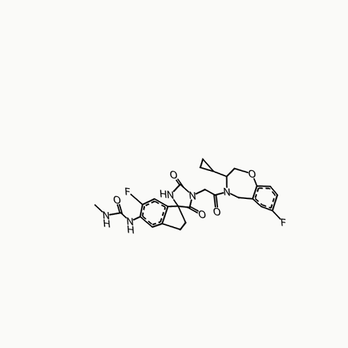 CNC(=O)Nc1cc2c(cc1F)C1(CC2)NC(=O)N(CC(=O)N2Cc3cc(F)ccc3OCC2C2CC2)C1=O